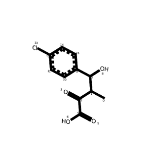 CC(C(=O)C(=O)O)C(O)c1ccc(Cl)cc1